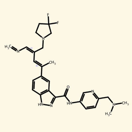 C=N/C=C(\C=C(/C)c1ccc2[nH]nc(C(=O)Nc3ccc(CN(C)C)nc3)c2c1)CN1CCC(F)(F)C1